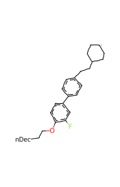 CCCCCCCCCCCCOc1ccc(-c2ccc(CCC3CC[CH]CC3)cc2)cc1F